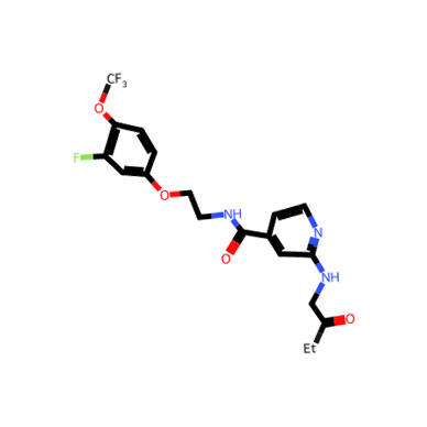 CCC(=O)CNc1cc(C(=O)NCCOc2ccc(OC(F)(F)F)c(F)c2)ccn1